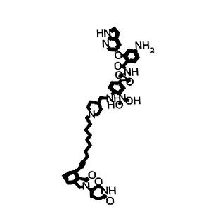 Nc1ccc(C(=O)NS(=O)(=O)c2ccc(NCC3CCN(CCCCCCCCC#Cc4cccc5c4C(=O)N(C4CCC(=O)NC4=O)C5)CC3)c(N(O)O)c2)c(Oc2cnc3[nH]ccc3c2)c1